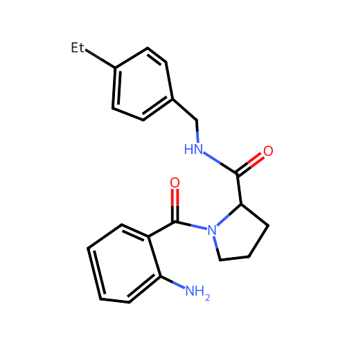 CCc1ccc(CNC(=O)C2CCCN2C(=O)c2ccccc2N)cc1